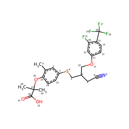 Cc1cc(SCC(CC#N)COc2ccc(C(F)(F)F)c(F)c2)ccc1OC(C)(C)C(=O)O